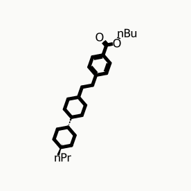 CCCCOC(=O)c1ccc(CCC2CCC([C@H]3CC[C@H](CCC)CC3)CC2)cc1